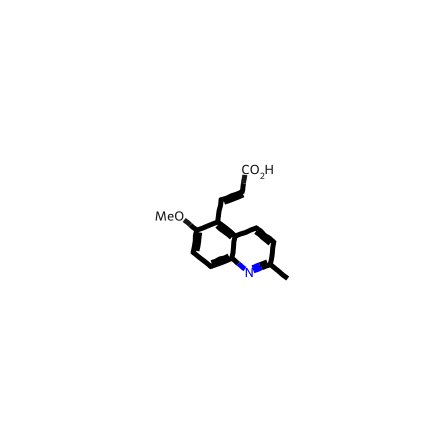 COc1ccc2nc(C)ccc2c1C=CC(=O)O